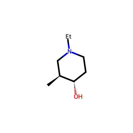 CCN1CC[C@H](O)[C@@H](C)C1